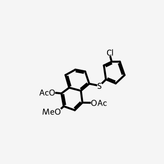 COc1cc(OC(C)=O)c2c(Sc3cccc(Cl)c3)cccc2c1OC(C)=O